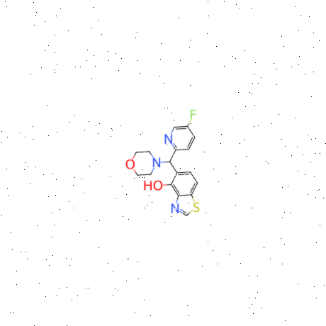 Oc1c(C(c2ccc(F)cn2)N2CCOCC2)ccc2scnc12